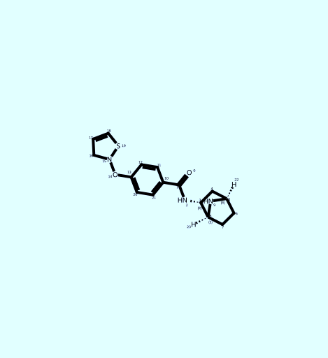 O=C(N[C@@H]1C[C@H]2CC[C@@H]1N2)c1ccc(ON2CC=CS2)cc1